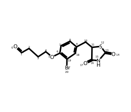 O=[C]CCCOc1ccc(CC2SC(=O)NC2=O)cc1Br